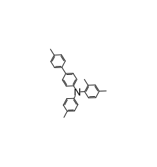 Cc1ccc(-c2ccc(N(c3ccc(C)cc3)c3ccc(C)cc3C)cc2)cc1